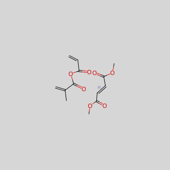 C=CC(=O)OC(=O)C(=C)C.COC(=O)/C=C/C(=O)OC